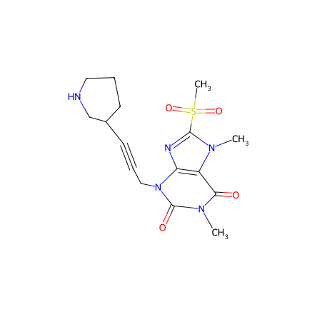 Cn1c(=O)c2c(nc(S(C)(=O)=O)n2C)n(CC#CC2CCCNC2)c1=O